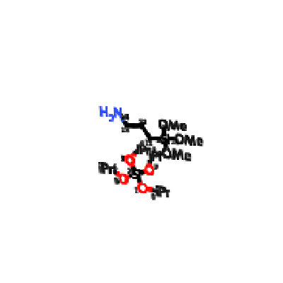 CC(C)O[Si](OC(C)C)(OC(C)C)OC(C)C.CO[Si](CCCN)(OC)OC